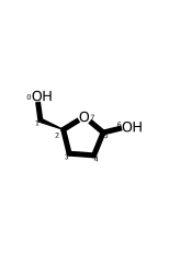 OC[C@@H]1CCC(O)O1